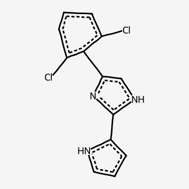 Clc1cccc(Cl)c1-c1c[nH]c(-c2ccc[nH]2)n1